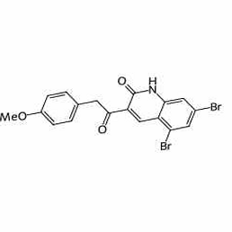 COc1ccc(CC(=O)c2cc3c(Br)cc(Br)cc3[nH]c2=O)cc1